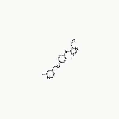 Cc1cc(COc2ccc(Sc3c(C=O)ncn3C)cc2)ccn1